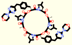 CC(C)C[C@H]1C(=O)O[C@H](Cc2ccc(Cc3cnc(N4CCOCC4)nc3)cc2)C(=O)N(C)[C@@H](CC(C)C)C(=O)O[C@H](C)C(=O)N(C)[C@@H](CC(C)C)C(=O)O[C@H](Cc2ccc(Cc3cnc(N4CCOCC4)nc3)cc2)C(=O)N(C)[C@@H](CC(C)C)C(=O)O[C@H](C)C(=O)N1C